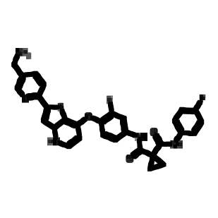 NCc1ccc(C2=CC3NC=CC(Oc4ccc(NC(=O)C5(C(=O)Nc6ccc(F)cc6)CC5)cc4F)=C3S2)nc1